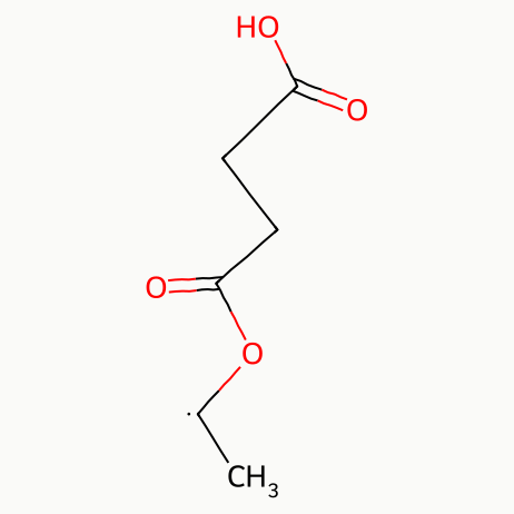 C[CH]OC(=O)CCC(=O)O